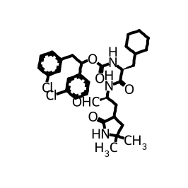 CC1(C)CC(C[C@@H](C=O)NC(=O)[C@H](CC2CCCCC2)NC(=O)OC(Cc2cccc(Cl)c2)c2cccc(Cl)c2)C(=O)N1